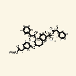 COC(=O)Cc1cccc(O[C@H]2CCc3cc(C(OC(=O)[C@@H](C)c4ccccc4)(C(F)(F)F)C(F)(F)F)ccc3N(C(=O)[C@@H](C)c3ccccc3)C2)c1